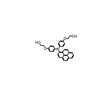 OCCOc1ccc(N(c2ccc(OCCO)cc2)c2ccc3ccc4cccc5ccc2c3c45)cc1